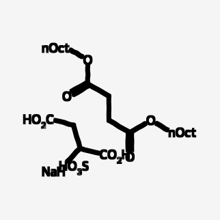 CCCCCCCCOC(=O)CCC(=O)OCCCCCCCC.O=C(O)CC(C(=O)O)S(=O)(=O)O.[NaH]